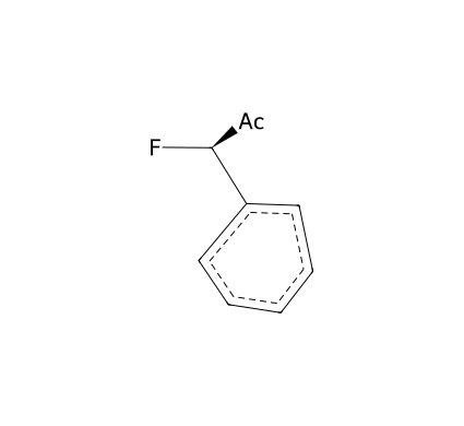 CC(=O)[C@H](F)c1ccccc1